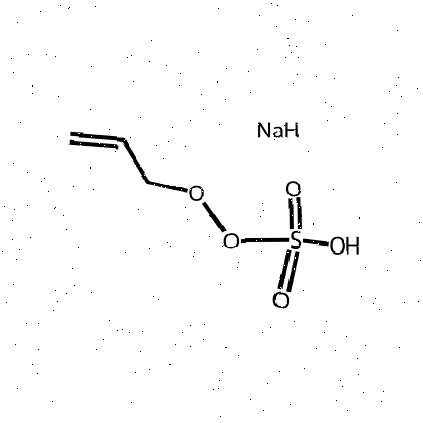 C=CCOOS(=O)(=O)O.[NaH]